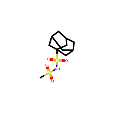 CS(=O)(=O)NS(=O)(=O)C12CC3CC(CC(C3)C1)C2